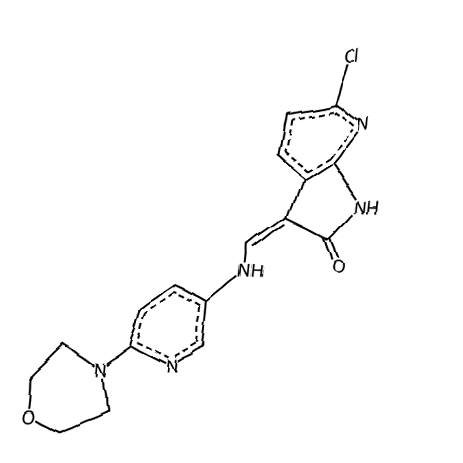 O=C1Nc2nc(Cl)ccc2C1=CNc1ccc(N2CCOCC2)nc1